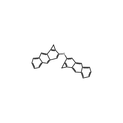 c1ccc2cc3c4c(c(Sc5cc6cc7ccccc7cc6c6c5C6)cc3cc2c1)C4